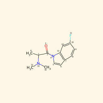 CC(C(=O)n1ccc2ccc(F)cc21)N(C)C